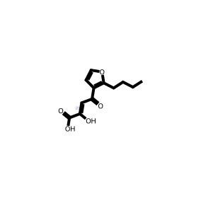 CCCCc1occc1C(=O)/C=C(\O)C(=O)O